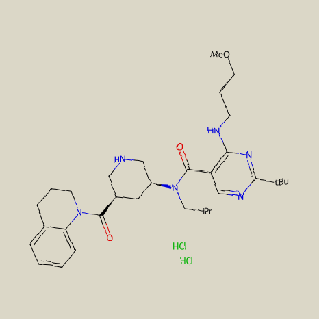 COCCCNc1nc(C(C)(C)C)ncc1C(=O)N(CC(C)C)[C@@H]1CNC[C@H](C(=O)N2CCCc3ccccc32)C1.Cl.Cl